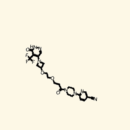 N#Cc1ccc(N2CCN(C(=O)CCOCCOC3CN(c4cn[nH]c(=O)c4C(F)(F)F)C3)CC2)nc1